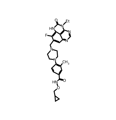 CCN1C(=O)Nc2c(F)c(CN3CCN(c4ccc(C(=O)NOCC5CC5)cc4C)CC3)cc3ncnc1c23